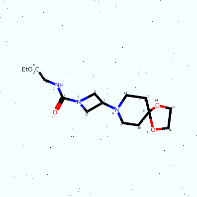 CCOC(=O)CNC(=O)N1CC(N2CCC3(CC2)OCCO3)C1